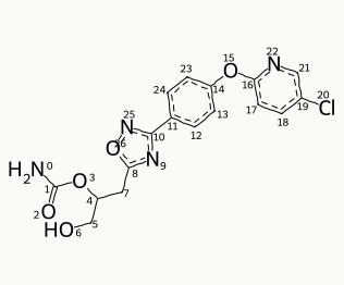 NC(=O)OC(CO)Cc1nc(-c2ccc(Oc3ccc(Cl)cn3)cc2)no1